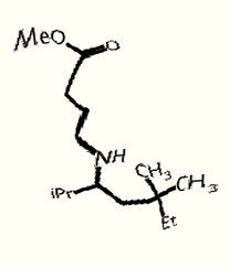 CCC(C)(C)CC(NCCCC(=O)OC)C(C)C